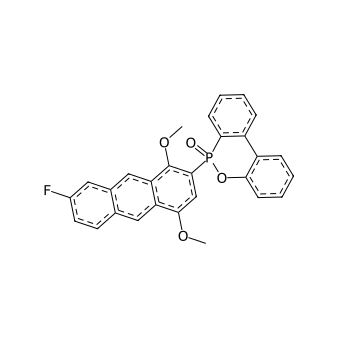 COc1cc(P2(=O)Oc3ccccc3-c3ccccc32)c(OC)c2cc3cc(F)ccc3cc12